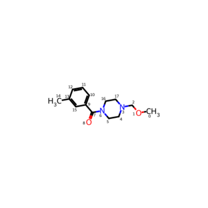 COCN1CCN(C(=O)c2cccc(C)c2)CC1